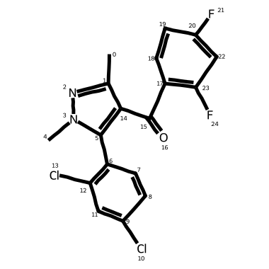 Cc1nn(C)c(-c2ccc(Cl)cc2Cl)c1C(=O)c1ccc(F)cc1F